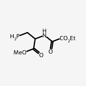 CCOC(=O)C(=O)NC(CP)C(=O)OC